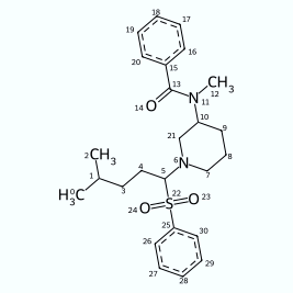 CC(C)CCC(N1CCCC(N(C)C(=O)c2ccccc2)C1)S(=O)(=O)c1ccccc1